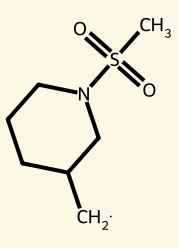 [CH2]C1CCCN(S(C)(=O)=O)C1